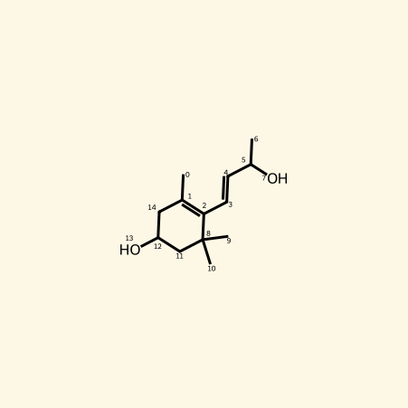 CC1=C(/C=C/C(C)O)C(C)(C)CC(O)C1